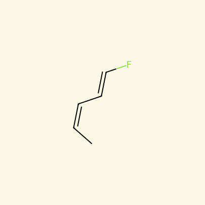 C/C=C\C=C\F